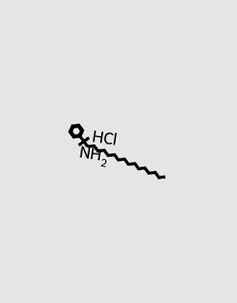 CCCCCCCCCCCCCCCC(N)C(C)(C)c1ccccc1.Cl